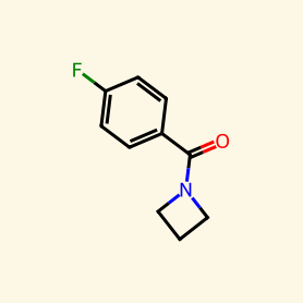 O=C(c1ccc(F)cc1)N1CCC1